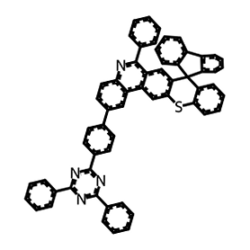 c1ccc(-c2nc(-c3ccccc3)nc(-c3ccc(-c4ccc5nc(-c6ccccc6)c6cc7c(cc6c5c4)Sc4ccccc4C74c5ccccc5-c5ccccc54)cc3)n2)cc1